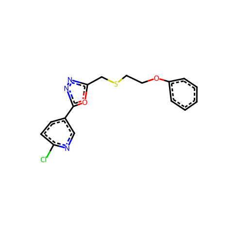 Clc1ccc(-c2nnc(CSCCOc3ccccc3)o2)cn1